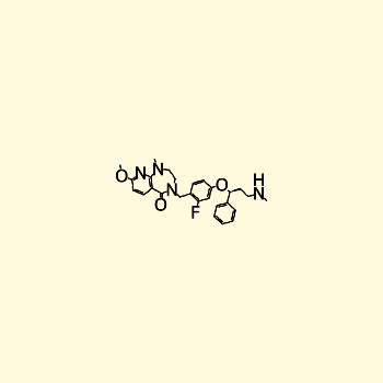 CNCC[C@H](Oc1ccc(CN2CCN(C)c3nc(OC)ccc3C2=O)c(F)c1)c1ccccc1